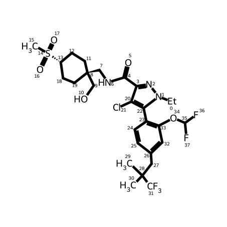 CCn1nc(C(=O)NC[C@]2(CO)CC[C@@H](S(C)(=O)=O)CC2)c(Cl)c1-c1ccc(CC(C)(C)C(F)(F)F)cc1OC(F)F